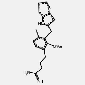 COc1c(CCCC(=N)N)c[c]c(C)c1Cc1cc2ccccc2[nH]1